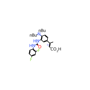 CCCCN(CCCC)c1ccc(/C(C)=C/C(=O)O)cc1NC(=O)Nc1ccc(F)cc1F